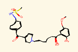 COc1ccc(O)c(C(=O)CCCCN2CCC(C(=O)c3ccc(NS(C)(=O)=O)cc3)CC2)c1